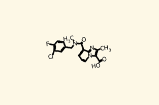 Cc1nc2c(C(=O)N(C)Cc3ccc(F)c(Cl)c3)cccn2c1C(=O)O